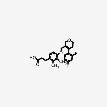 Cc1c(CCC(=O)O)ccc(OCC2=C(c3ccc(F)cc3F)CCOC2)c1C